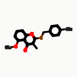 Cc1c(SCc2ccc(C(C)(C)C)cc2)oc2cccc(OC(C)(C)C)c2c1=O